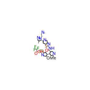 COc1cnc(Cl)cc1-c1cc(C)ncc1C(=O)Nc1nc2cnc(-c3c(C)cnn3CCN(C)C)cc2s1.O=C(O)C(F)(F)F